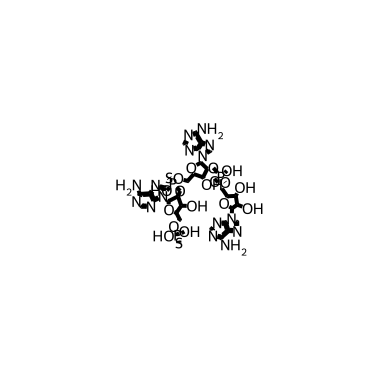 Nc1ncnc2c1ncn2C1OC(COP(=O)(O)OC2C(O)C(COP(O)(=S)OC3C(O)C(COP(O)(O)=S)OC3n3cnc4c(N)ncnc43)OC2n2cnc3c(N)ncnc32)C(O)C1O